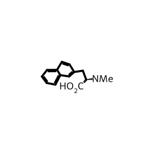 CN[C@H](Cc1ccc2ccccc2c1)C(=O)O